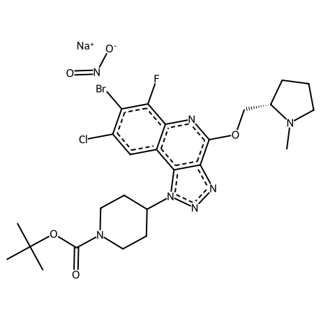 CN1CCC[C@H]1COc1nc2c(F)c(Br)c(Cl)cc2c2c1nnn2C1CCN(C(=O)OC(C)(C)C)CC1.O=N[O-].[Na+]